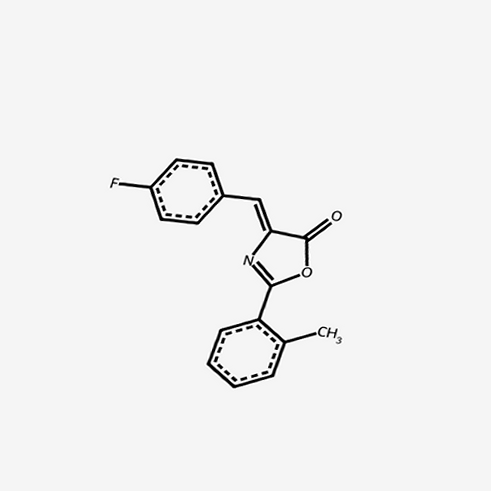 Cc1ccccc1C1=N/C(=C\c2ccc(F)cc2)C(=O)O1